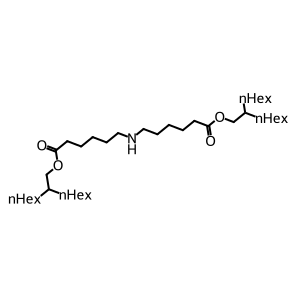 CCCCCCC(CCCCCC)COC(=O)CCCCCNCCCCCC(=O)OCC(CCCCCC)CCCCCC